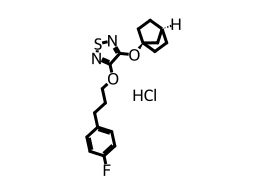 Cl.Fc1ccc(CCCOc2nsnc2O[C@]23CC[C@@H](CC2)C3)cc1